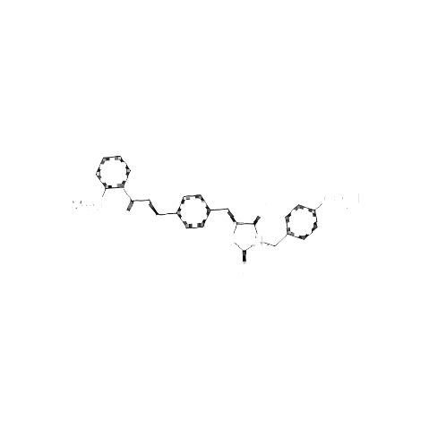 COc1ccccc1C(=O)/C=C/c1ccc(/C=C2\SC(=O)N(Cc3ccc(C(=O)O)cc3)C2=O)cc1